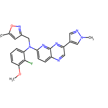 COc1cccc(N(Cc2cc(C)on2)c2ccc3ncc(-c4cnn(C)c4)nc3n2)c1F